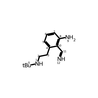 CC(C)(C)NCCc1cccc(N)c1C=N